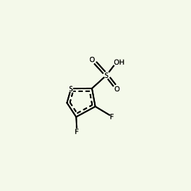 O=S(=O)(O)c1scc(F)c1F